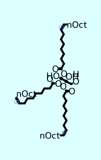 CCCCCCCC/C=C\CCCCCCCC(=O)OC(O)(CO)C(O)(OC(=O)CCCCCCC/C=C\CCCCCCCC)OC(=O)CCCCCCC/C=C\CCCCCCCC